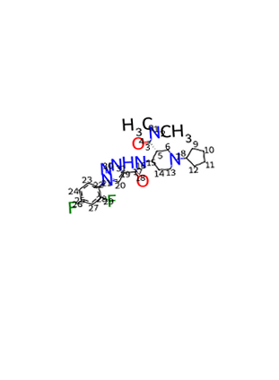 CN(C)C(=O)[C@@H]1CN(C2CCCC2)CC[C@H]1NC(=O)c1cn(-c2ccc(F)cc2F)nn1